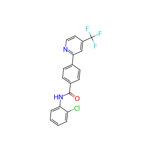 O=C(Nc1ccccc1Cl)c1ccc(-c2cc(C(F)(F)F)ccn2)cc1